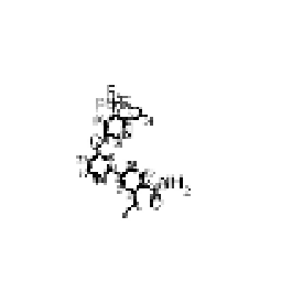 CCc1cc(-c2cc(Oc3cnc(OC)c(C(F)(F)F)c3)ccn2)ccc1C(N)=O